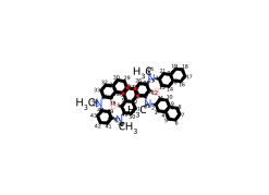 CN1c2cc3ccccc3cc2B2c3cc4ccccc4cc3N(C)c3cc(-c4ccc5ccc6c(c5c4)B4c5c(cccc5N6C)N(C)c5ccc6ccccc6c54)cc1c32